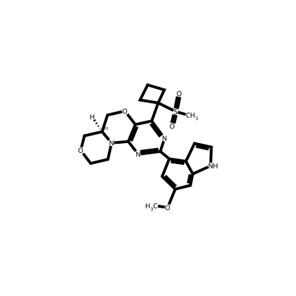 COc1cc(-c2nc3c(c(C4(S(C)(=O)=O)CCC4)n2)OC[C@@H]2COCCN32)c2cc[nH]c2c1